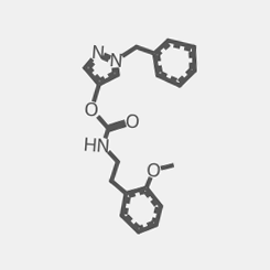 COc1ccccc1CCNC(=O)Oc1cnn(Cc2ccccc2)c1